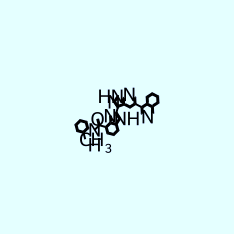 Cc1ccccc1NC(=O)c1cccc2[nH]c(-c3n[nH]c4ncc(-c5cncc6ccccc56)cc34)nc12